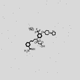 Cl.Cl.N=C(N)c1cccc(/C=C/CN(c2ccc(OC3CCN(C4=NCCC4)CC3)c(C(F)(F)F)c2)S(=O)(=O)CC(=O)O)c1